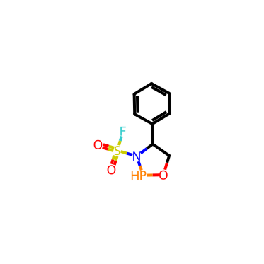 O=S(=O)(F)N1POCC1c1ccccc1